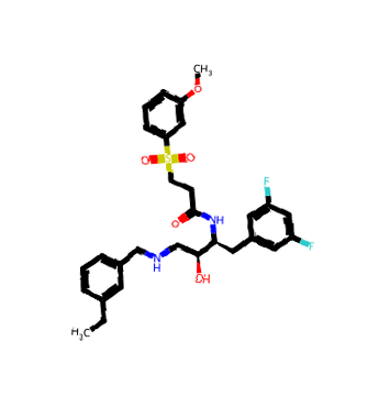 CCc1cccc(CNC[C@H](O)[C@H](Cc2cc(F)cc(F)c2)NC(=O)CCS(=O)(=O)c2cccc(OC)c2)c1